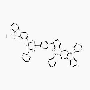 CC1(C)c2ccccc2-c2ccc(-c3nc(-c4ccccc4)nc(-c4ccc(-c5cccc6c5nc(-c5ccccc5)c5cc7c8ccccc8n(-c8ccccc8)c7cc56)cc4)n3)cc21